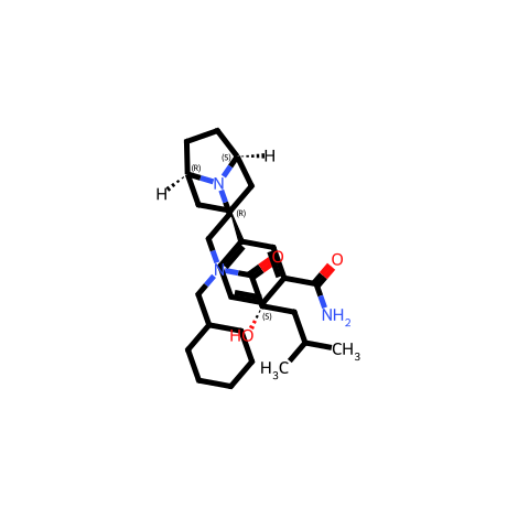 CC(C)C[C@H](O)C(=O)N(CCN1[C@@H]2CC[C@H]1C[C@@H](c1cccc(C(N)=O)c1)C2)CC1CCCCC1